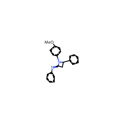 COc1ccc(N2/C(=N/c3ccccc3)CC2c2ccccc2)cc1